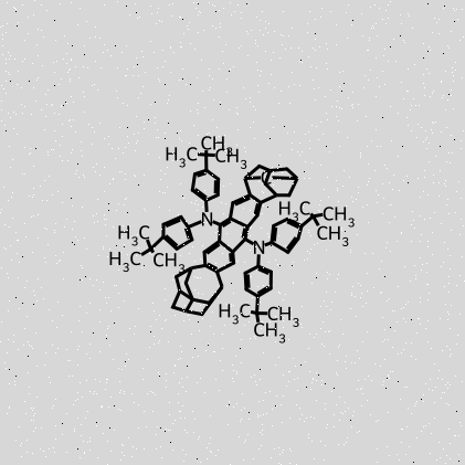 CC(C)(C)c1ccc(N(c2ccc(C(C)(C)C)cc2)c2c3cc4c(cc3c(N(c3ccc(C(C)(C)C)cc3)c3ccc(C(C)(C)C)cc3)c3cc5c(cc23)C2CC3CC6CC5CC36C2)C2CC3CC(CC4C3)C2)cc1